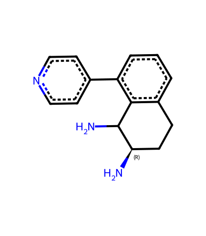 NC1c2c(cccc2-c2ccncc2)CC[C@H]1N